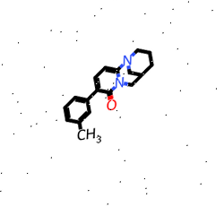 Cc1cccc(-c2ccc3n(c2=O)CC2CCCN3C2)c1